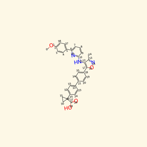 COc1ccc(-c2cccc(Nc3c(C)noc3-c3ccc(-c4ccc(C5(C(=O)O)CC5)cc4)cc3)n2)cc1